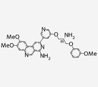 COc1cccc(OC[C@@H](N)COc2cncc(-c3cc4c(cnc5cc(OC)c(OC)cc54)c(N)n3)c2)c1